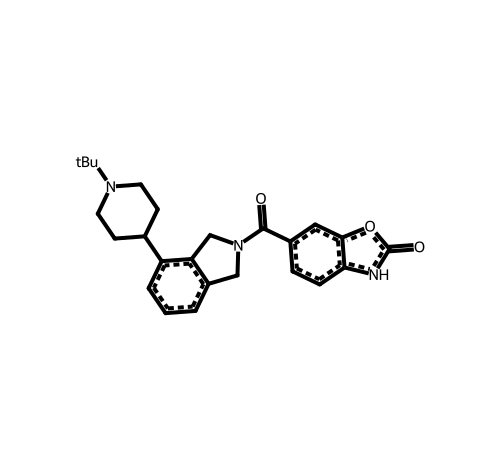 CC(C)(C)N1CCC(c2cccc3c2CN(C(=O)c2ccc4[nH]c(=O)oc4c2)C3)CC1